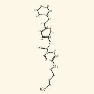 CCCCCOc1ccc(C(=O)Oc2ccc(CCC3CC[CH]CC3)cc2)cc1